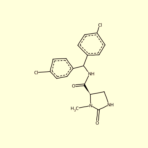 CN1C(=O)NC[C@@H]1C(=O)NC(c1ccc(Cl)cc1)c1ccc(Cl)cc1